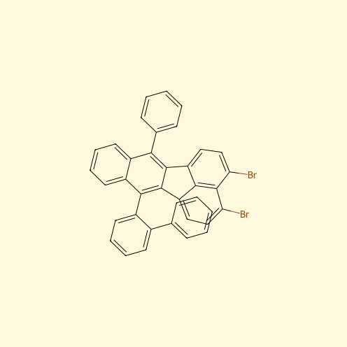 Brc1ccc2c3c(ccc(Br)c13)-c1c-2c(-c2ccccc2)c2ccccc2c1-c1ccccc1-c1ccccc1